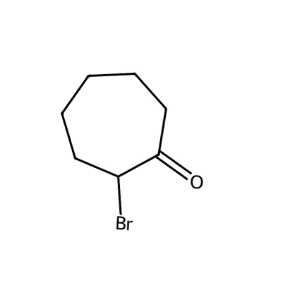 O=C1CCCCCC1Br